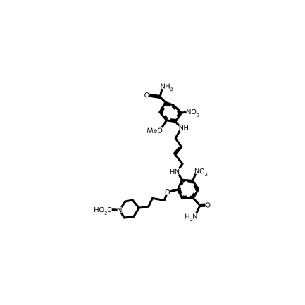 COc1cc(C(N)=O)cc([N+](=O)[O-])c1NC/C=C/CNc1c(OCCCC2CCN(C(=O)O)CC2)cc(C(N)=O)cc1[N+](=O)[O-]